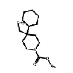 CC(C)(C)OC(=O)N1CCC(CC=O)(C2CCCCC2)CC1